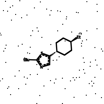 CC[C@H]1CC[C@H](c2cnc(C(C)(C)C)s2)CC1